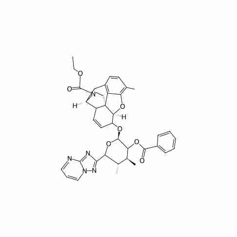 CCOC(=O)N1CC[C@]23c4c5ccc(C)c4O[C@H]2C(O[C@@H]2OC(c4nc6ncccn6n4)[C@@H](C)[C@H](C)C2OC(=O)c2ccccc2)C=CC3[C@H]1C5